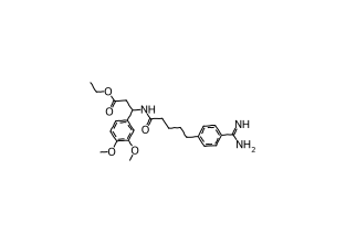 CCOC(=O)CC(NC(=O)CCCCc1ccc(C(=N)N)cc1)c1ccc(OC)c(OC)c1